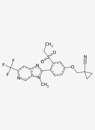 CCS(=O)(=O)c1cc(OCC2(C#N)CC2)ccc1-c1nc2cc(C(F)(F)F)ncc2n1C